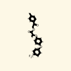 Cc1ccc(C(=O)COC(=O)C(C)Oc2ccc(Oc3ccc(C(F)(F)F)cc3)cc2)cc1